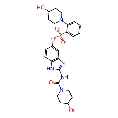 O=C(Nc1nc2cc(OS(=O)(=O)c3ccccc3N3CCC(O)CC3)ccc2[nH]1)N1CCC(O)CC1